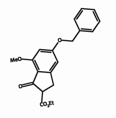 CCOC(=O)C1Cc2cc(OCc3ccccc3)cc(OC)c2C1=O